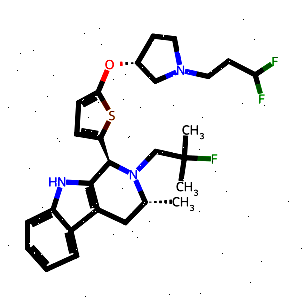 C[C@@H]1Cc2c([nH]c3ccccc23)[C@@H](c2ccc(O[C@@H]3CCN(CCC(F)F)C3)s2)N1CC(C)(C)F